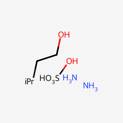 CC(C)CCO.N.N.O=S(=O)(O)O